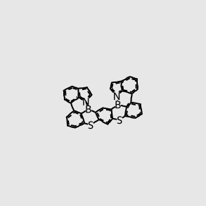 c1cc2c3c(c1)-c1cccc4ccn(c14)B3c1cc3c(cc1S2)Sc1cccc2c1B3n1ccc3cccc-2c31